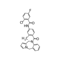 Cc1cc(NC(=O)c2cc(F)ccc2Cl)ccc1C(=O)N1Cc2cccn2Cc2ccccc21